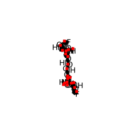 CC[C@H](NC)C(=O)N[C@@H](Cc1c(C)cc(OCCNC(=O)CCC(=O)NCCOc2cc(C)c(C[C@H](NC(=O)[C@H](CC)NC)C(=O)N3CC(C)(C)c4[nH]c(=O)c(Cc5ccc(F)cc5)cc43)c(C)c2)cc1C)C(=O)N1CC(C)(C)c2[nH]c(=O)c(Cc3ccc(F)cc3)cc21